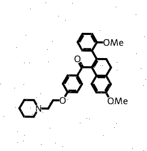 COc1ccc2c(c1)CCC(c1ccccc1OC)=C2C(=O)c1ccc(OCCN2CCCCC2)cc1